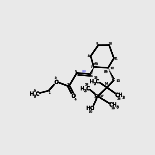 CCOC(=O)/C=C/[C@@H]1CCCC[C@@H]1CC(C)(C)[Si](C)(C)O